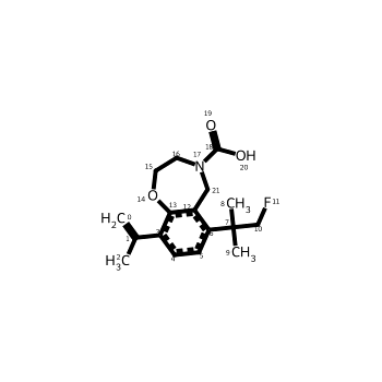 C=C(C)c1ccc(C(C)(C)CF)c2c1OCCN(C(=O)O)C2